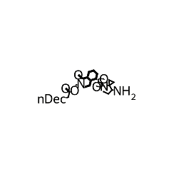 CCCCCCCCCCCC(=O)OCn1ccc2c(S(=O)(=O)N3CCC(N)C34CC4)cccc2c1=O